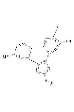 N#Cc1cc(-n2nc(C(=O)O)cc2-c2cccc(Cl)c2)ccc1F